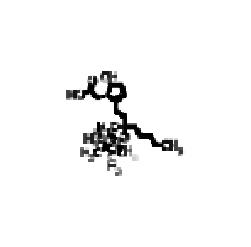 CCCCC[C@@](C)(CCC1=CC[C@H](O)[C@@H]1CC(=O)O)O[Si](C)(C)C(C)(C)C